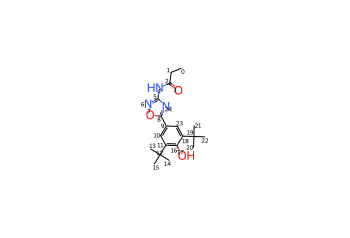 CCC(=O)Nc1noc(-c2cc(C(C)(C)C)c(O)c(C(C)(C)C)c2)n1